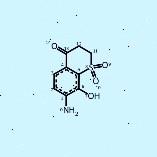 Nc1ccc2c(c1O)S(=O)(=O)CCC2=O